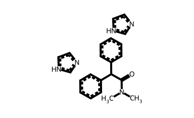 CN(C)C(=O)C(c1ccccc1)c1ccccc1.c1c[nH]cn1.c1c[nH]cn1